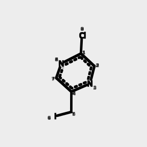 Clc1cnc(CI)cn1